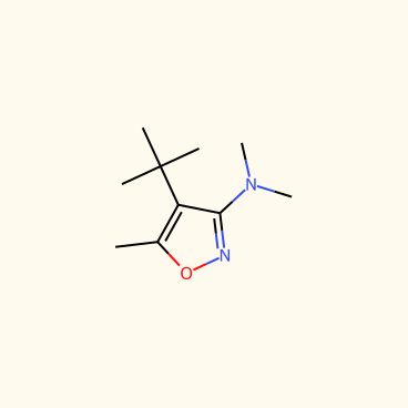 Cc1onc(N(C)C)c1C(C)(C)C